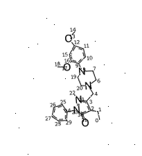 CCc1c(CN2CCN(c3ccc(OC)cc3OC)CC2)n(C)n(-c2ccccc2)c1=O